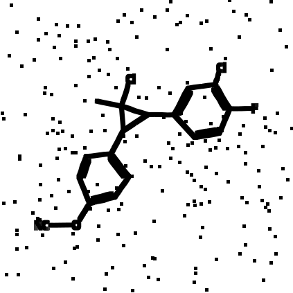 CC1(Cl)C(c2ccc(OC#N)cc2)C1c1ccc(F)c(Cl)c1